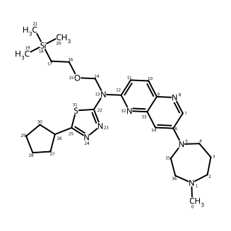 CN1CCCN(c2cnc3ccc(N(COCC[Si](C)(C)C)c4nnc(C5CCCC5)s4)nc3c2)CC1